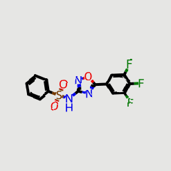 O=S(=O)(Nc1noc(-c2cc(F)c(F)c(F)c2)n1)c1ccccc1